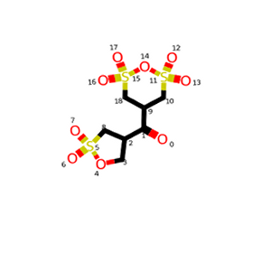 O=C(C1COS(=O)(=O)C1)C1CS(=O)(=O)OS(=O)(=O)C1